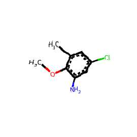 COc1c(C)cc(Cl)cc1N